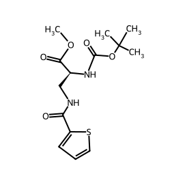 COC(=O)[C@H](CNC(=O)c1cccs1)NC(=O)OC(C)(C)C